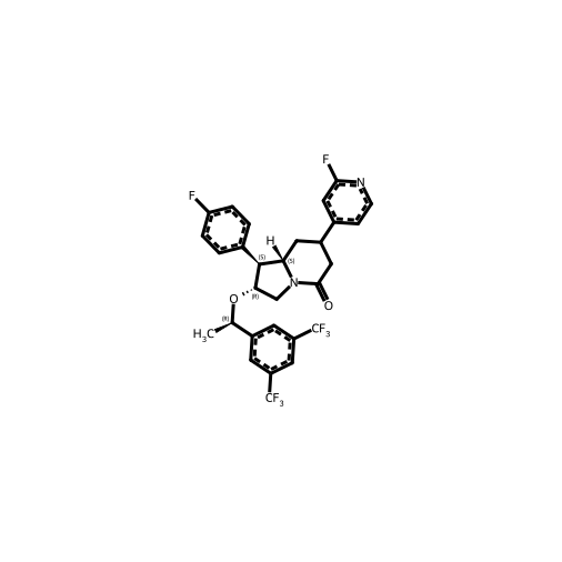 C[C@@H](O[C@H]1CN2C(=O)CC(c3ccnc(F)c3)C[C@H]2[C@@H]1c1ccc(F)cc1)c1cc(C(F)(F)F)cc(C(F)(F)F)c1